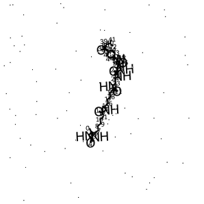 CC1NC(=O)NC1CCCCCC(=O)NCCCCCC(=O)NCCNC(=O)Nc1c[n+](-c2ccc(C(=O)[C@H](C)C(C)C)cc2)no1